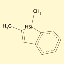 CC1=Cc2ccccc2[SiH]1C